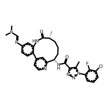 Cc1c(C(=O)N[C@H]2CCC[C@@H](C)C(=O)Nc3cc(N=CN(C)C)ccc3-c3ccnc2c3)nnn1-c1cccc(Cl)c1F